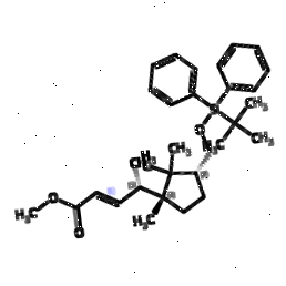 COC(=O)/C=C/[C@H](C)[C@@]1(C)CC[C@@H](CO[Si](c2ccccc2)(c2ccccc2)C(C)(C)C)C1(C)C